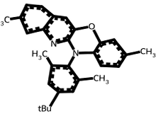 Cc1ccc2c(c1)Oc1cc3ccc(C)cc3nc1N2c1c(C)cc(C(C)(C)C)cc1C